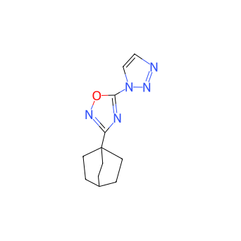 c1cn(-c2nc(C34CCC(CC3)CC4)no2)nn1